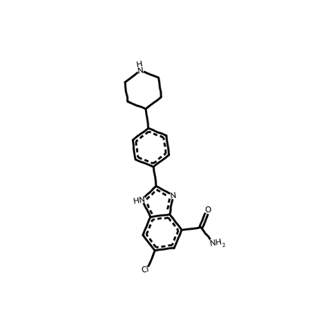 NC(=O)c1cc(Cl)cc2[nH]c(-c3ccc(C4CCNCC4)cc3)nc12